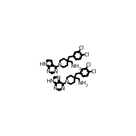 NCC1(Cc2ccc(Cl)c(Cl)c2)CCN(c2ncnc3[nH]ccc23)CC1.NCC1(Cc2ccc(Cl)c(Cl)c2)CCN(c2ncnc3[nH]cnc23)CC1